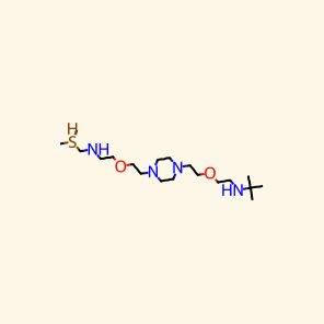 C[SH](C)CNCCOCCN1CCN(CCOCCNC(C)(C)C)CC1